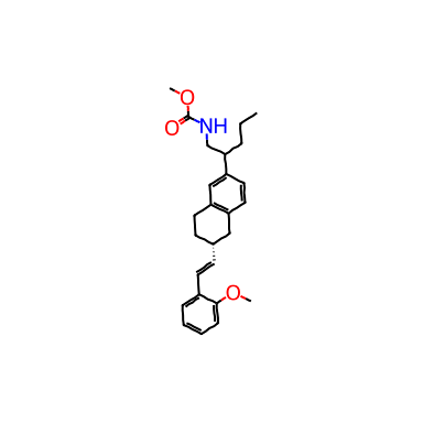 CCCC(CNC(=O)OC)c1ccc2c(c1)CC[C@@H](/C=C/c1ccccc1OC)C2